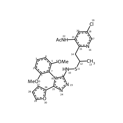 COc1cccc(OC)c1-n1c(NSC(C)Cc2ncc(Cl)cc2NC(C)=O)nnc1-c1ccco1